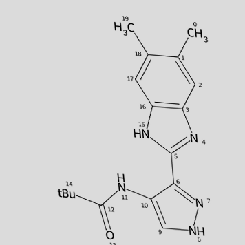 Cc1cc2nc(-c3n[nH]cc3NC(=O)C(C)(C)C)[nH]c2cc1C